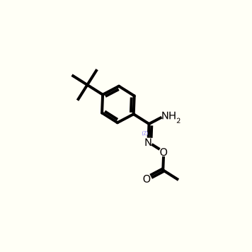 CC(=O)O/N=C(\N)c1ccc(C(C)(C)C)cc1